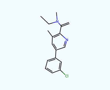 C=C(c1ncc(-c2cccc(Cl)c2)cc1C)N(C)CC